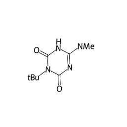 CNc1nc(=O)n(C(C)(C)C)c(=O)[nH]1